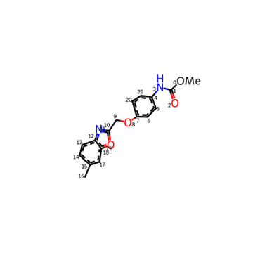 COC(=O)Nc1ccc(OCc2nc3ccc(C)cc3o2)cc1